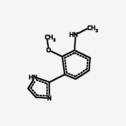 CNc1cccc(-c2ncc[nH]2)c1OC